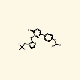 CC(F)(F)Cn1ccnc1Cn1nc(-c2ccc(OC(F)F)cc2)ccc1=O